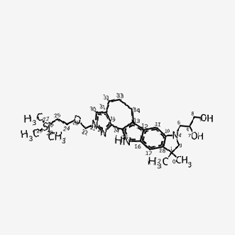 CC1(C)CN(CC(O)CO)c2cc3c4c([nH]c3cc21)-c1nn(COCC[Si](C)(C)C)cc1CCC4